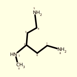 CNC(CCN)CCN